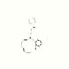 O=C1OCC/C=C/CC/C=C/C(=NOCC(=O)N2CCOCC2)Cc2c(Cl)c(O)cc(O)c21